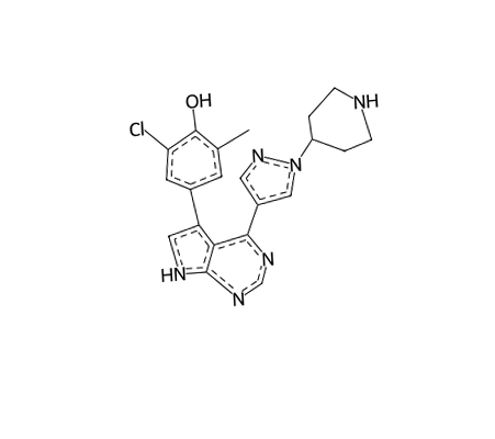 Cc1cc(-c2c[nH]c3ncnc(-c4cnn(C5CCNCC5)c4)c23)cc(Cl)c1O